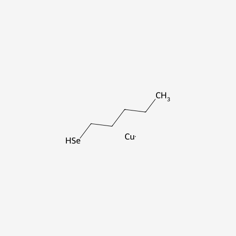 CCCCC[SeH].[Cu]